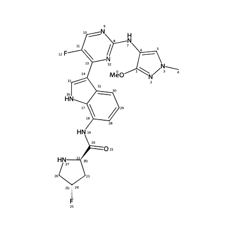 COc1nn(C)cc1Nc1ncc(F)c(-c2c[nH]c3c(NC(=O)[C@H]4C[C@H](F)CN4)cccc23)n1